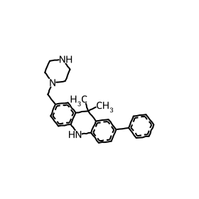 CC1(C)c2cc(CN3CCNCC3)ccc2Nc2ccc(-c3ccccc3)cc21